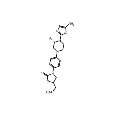 CC(=O)NCC1CN(c2ccc(N3CCN(c4nnc(N)s4)[C@@H](F)C3)cc2)C(=O)O1